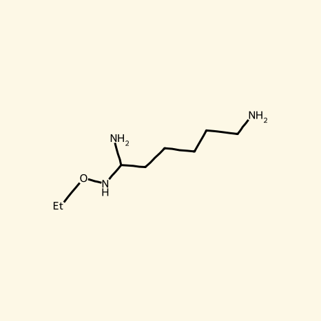 CCONC(N)CCCCCN